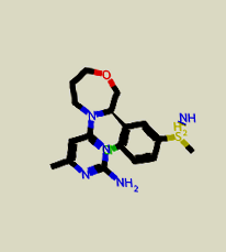 Cc1cc(N2CCCOC[C@H]2c2cc([SH2](C)=N)ccc2Cl)nc(N)n1